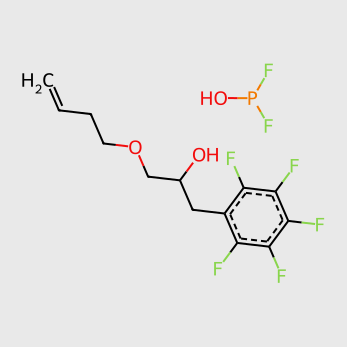 C=CCCOCC(O)Cc1c(F)c(F)c(F)c(F)c1F.OP(F)F